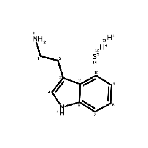 NCCc1c[nH]c2ccccc12.[H+].[H+].[S-2]